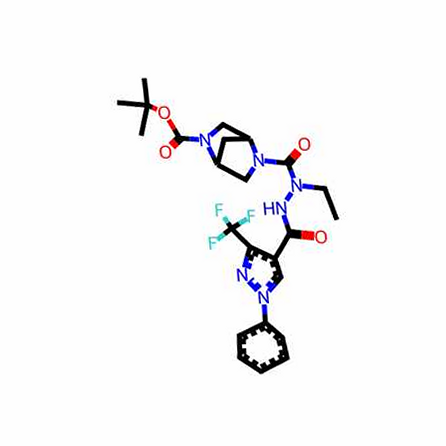 CCN(NC(=O)c1cn(-c2ccccc2)nc1C(F)(F)F)C(=O)N1CC2CC1CN2C(=O)OC(C)(C)C